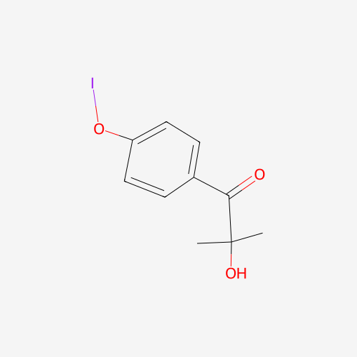 CC(C)(O)C(=O)c1ccc(OI)cc1